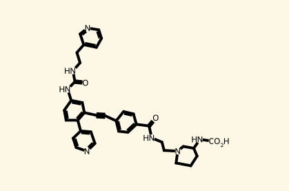 O=C(O)NC1CCCN(CCNC(=O)c2ccc(C#Cc3cc(NC(=O)NCCc4cccnc4)ccc3-c3ccncc3)cc2)C1